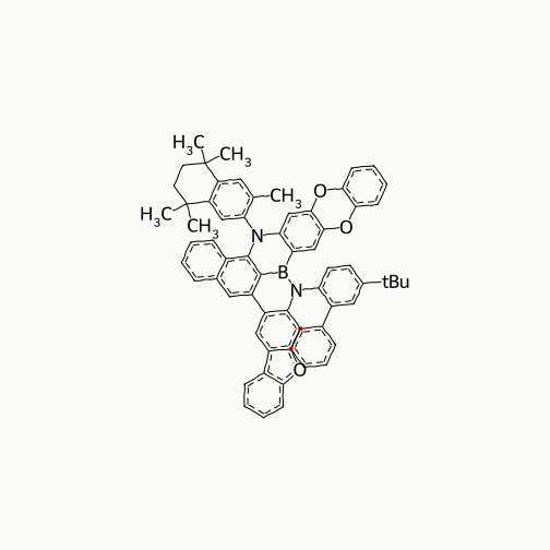 Cc1cc2c(cc1N1c3cc4c(cc3B3c5c(cc6ccccc6c51)-c1cc5c(cc1N3c1ccc(C(C)(C)C)cc1-c1ccccc1)oc1ccccc15)Oc1ccccc1O4)C(C)(C)CCC2(C)C